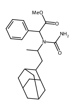 COC(=O)C(c1ccccc1)N(C(N)=O)C(C)CC1C2CC3CC(C2)CC1C3